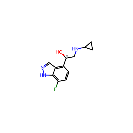 O[C@@H](CNC1CC1)c1ccc(F)c2[nH]ncc12